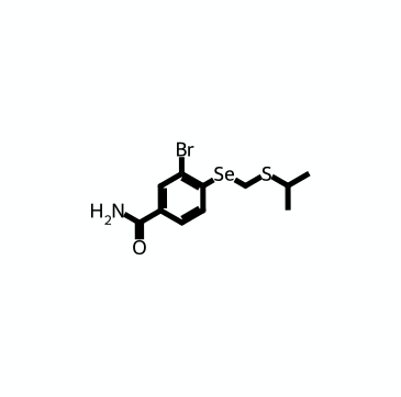 CC(C)SC[Se]c1ccc(C(N)=O)cc1Br